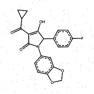 O=C(C1=C(O)C(c2ccc(F)cc2)N(c2ccc3c(c2)OCO3)C1=O)C1CC1